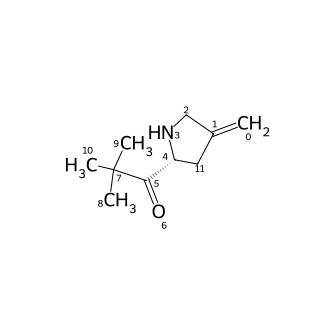 C=C1CN[C@@H](C(=O)C(C)(C)C)C1